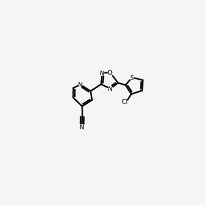 N#Cc1ccnc(-c2noc(-c3sccc3Cl)n2)c1